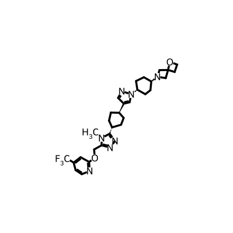 Cn1c(COc2cc(C(F)(F)F)ccn2)nnc1[C@H]1CC[C@H](c2cnn([C@H]3CC[C@H](N4CC5(CCO5)C4)CC3)c2)CC1